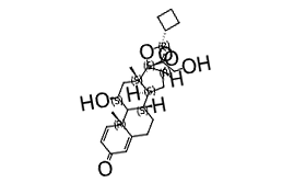 C[C@]12C=CC(=O)C=C1CC[C@@H]1C2[C@@H](O)C[C@@]2(C)[C@H]1C[C@H]1O[C@@H](C3CCC3)O[C@]12C(=O)CO